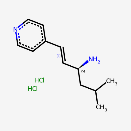 CC(C)C[C@H](N)/C=C/c1ccncc1.Cl.Cl